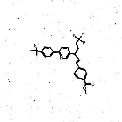 COC(=O)c1ccc(/C=C/C(CCC(F)(F)F)c2ccc(-c3ccc(C(F)(F)F)cc3)nc2)cc1